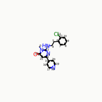 Cn1c(NCCc2ccccc2Cl)nc(-c2ccncc2)cc1=O